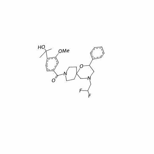 COc1cc(C(=O)N2CCC3(CC2)CN(CC(F)F)CC(c2ccccc2)O3)ccc1C(C)(C)O